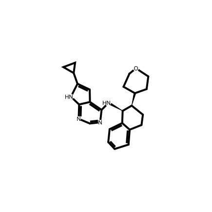 c1ccc2c(c1)CC[C@H](C1CCOCC1)[C@@H]2Nc1ncnc2[nH]c(C3CC3)cc12